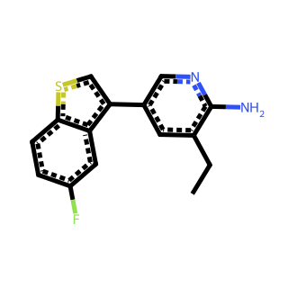 CCc1cc(-c2csc3ccc(F)cc23)cnc1N